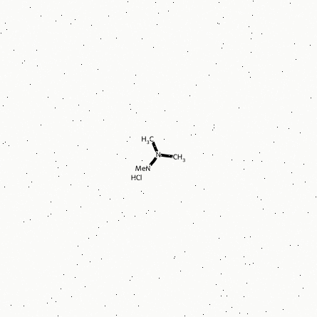 CNN(C)C.Cl